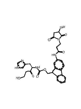 CSC1CC(=O)N(CCC(=O)Nc2ccc3c(c2)C(COC(=O)NC(Cc2c[nH]cn2)C(=O)CCO)c2ccccc2-3)C1=O